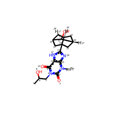 CCCn1c(=O)n(CC(C)O)c(=O)c2[nH]c(C34CC5C[C@H]3C[C@H](C4)[C@@H]5O)nc21